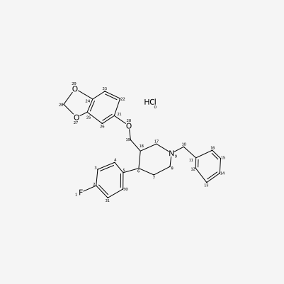 Cl.Fc1ccc(C2CCN(Cc3ccccc3)CC2COc2ccc3c(c2)OCO3)cc1